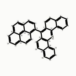 c1ccc2c(c1)ccc1c(-c3ccc4ccc5cccc6ccc3c4c56)c3ccc4ccccc4c3nc12